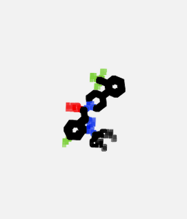 CC(C)n1nc(C(O)N2CCC(c3ccccc3C(F)(F)F)CC2)c2ccc(F)cc21